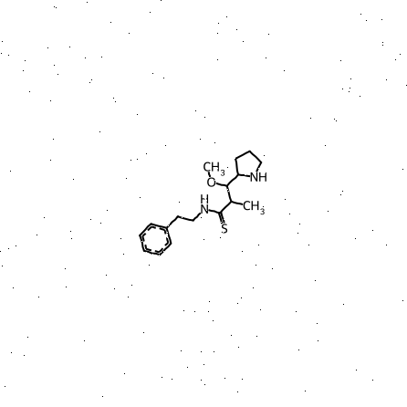 COC(C1CCCN1)C(C)C(=S)NCCc1ccccc1